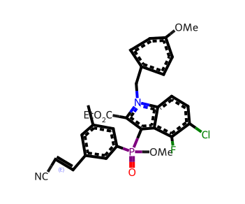 CCOC(=O)c1c(P(=O)(OC)c2cc(C)cc(/C=C/C#N)c2)c2c(F)c(Cl)ccc2n1Cc1ccc(OC)cc1